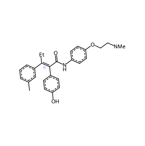 CC/C(=C(\C(=O)Nc1ccc(OCCNC)cc1)c1ccc(O)cc1)c1cccc(C)c1